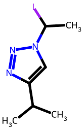 CC(C)c1cn(C(C)I)nn1